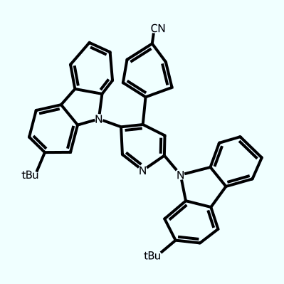 CC(C)(C)c1ccc2c3ccccc3n(-c3cc(-c4ccc(C#N)cc4)c(-n4c5ccccc5c5ccc(C(C)(C)C)cc54)cn3)c2c1